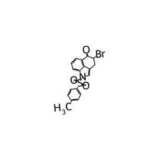 Cc1ccc(S(=O)(=O)n2cc3c4c(cccc42)C(=O)C(Br)C3)cc1